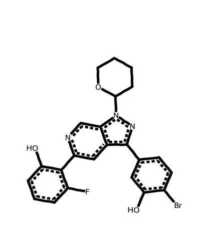 Oc1cc(-c2nn(C3CCCCO3)c3cnc(-c4c(O)cccc4F)cc23)ccc1Br